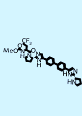 COC(=O)NC(CCC(F)(F)F)C(=O)N1CCC[C@H]1c1ncc(-c2ccc(-c3ccc(-c4cnc([C@@H]5CCCN5)[nH]4)cc3)cc2)[nH]1